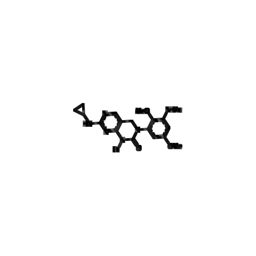 CCN1C(=O)N(c2cc(OC)cc(NC(C)=O)c2OC)Cc2cnc(NC3CC3)nc21